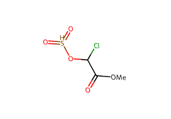 COC(=O)C(Cl)O[SH](=O)=O